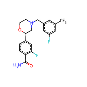 NC(=O)c1ccc([C@H]2CN(Cc3cc(F)cc(C(F)(F)F)c3)CCO2)cc1F